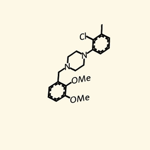 COc1cccc(CN2CCN(c3cccc(C)c3Cl)CC2)c1OC